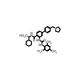 Cc1cc(C)c(NC(=O)Nc2cc(-c3ccc(CN4CCCC4)cc3)ccc2C(=O)N[C@H](C(=O)O)C2CCCCC2)c(C)c1